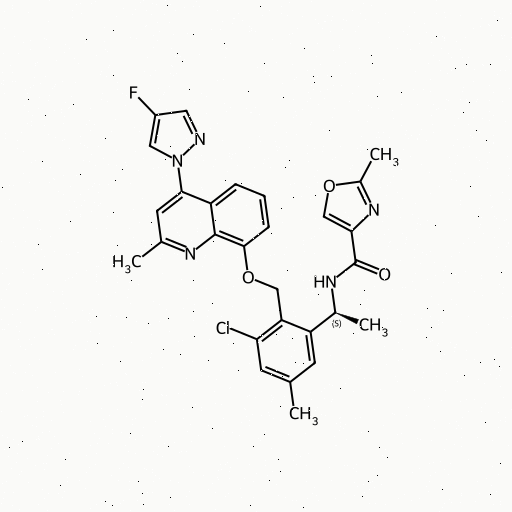 Cc1cc(Cl)c(COc2cccc3c(-n4cc(F)cn4)cc(C)nc23)c([C@H](C)NC(=O)c2coc(C)n2)c1